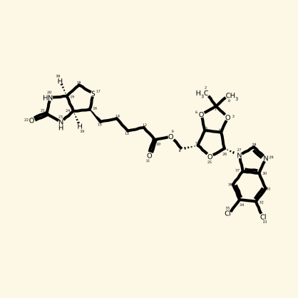 CC1(C)OC2C(O1)[C@@H](COC(=O)CCCC[C@@H]1SC[C@@H]3NC(=O)N[C@@H]31)O[C@H]2n1cnc2cc(Cl)c(Cl)cc21